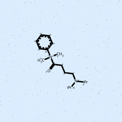 CC(C)N(CCCC(=O)[N+](C)(C)c1ccccc1)C(C)C